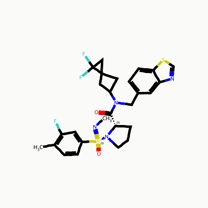 CN=[S@](=O)(c1ccc(C)c(F)c1)N1CCC[C@H]1C(=O)N(Cc1ccc2scnc2c1)C1CC2(C1)CC2(F)F